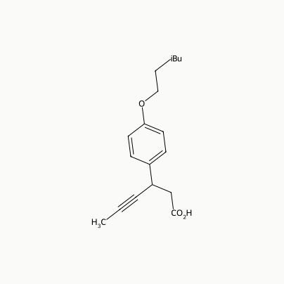 CC#CC(CC(=O)O)c1ccc(OCCC(C)CC)cc1